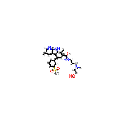 CCS(=O)(=O)c1cccc(C2=CC(C(=O)NCCCN(C)CCO)=C(C)C3Nc4ncc(C)cc4C23)c1